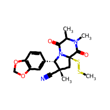 CSS[C@@]12C[C@](C)(C#N)[C@H](c3ccc4c(c3)OCO4)N1C(=O)C(C)N(C)C2=O